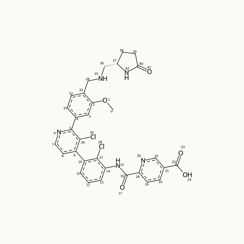 COc1cc(-c2nccc(-c3cccc(NC(=O)c4ccc(C(=O)O)cn4)c3Cl)c2Cl)ccc1CNC[C@@H]1CCC(=O)N1